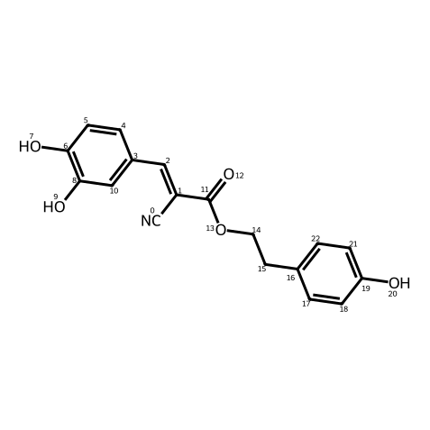 N#C/C(=C\c1ccc(O)c(O)c1)C(=O)OCCc1ccc(O)cc1